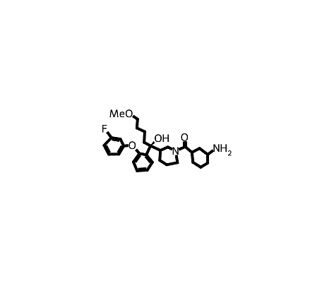 COCCCC[C@@](O)(c1ccccc1Oc1cccc(F)c1)C1CCCN(C(=O)C2CCCC(N)C2)C1